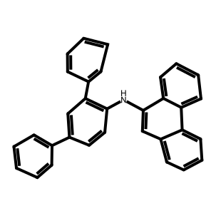 c1ccc(-c2ccc(Nc3cc4ccccc4c4ccccc34)c(-c3ccccc3)c2)cc1